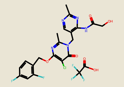 Cc1ncc(Cn2c(C)nc(OCc3ccc(F)cc3F)c(Cl)c2=O)c(NC(=O)CO)n1.O=C(O)C(F)(F)F